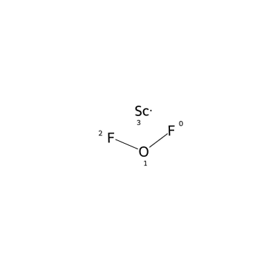 FOF.[Sc]